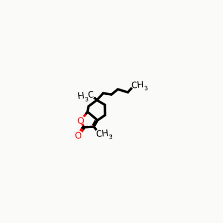 CCCCCC1(C)CCC2=C(C)C(=O)OC2C1